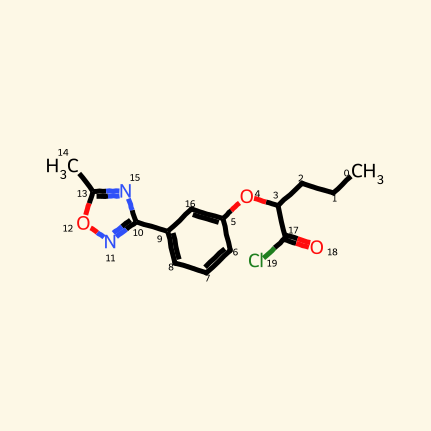 CCCC(Oc1cccc(-c2noc(C)n2)c1)C(=O)Cl